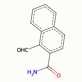 NC(=O)c1ccc2ccccc2c1C=O